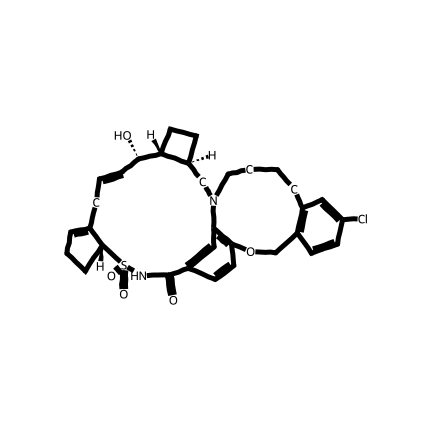 O=C1NS(=O)(=O)[C@@H]2CCC=C2C/C=C/[C@H](O)[C@@H]2CC[C@H]2CN2CCCCc3cc(Cl)ccc3COc3ccc1cc32